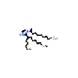 CCCCCCCCCCCCCCCCCC(C)[n+]1cc[nH]c1C(CCCCCCCCCCCCC)CCCCCCCCCCCCCCC